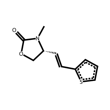 CN1C(=O)OC[C@H]1/C=C/c1cccs1